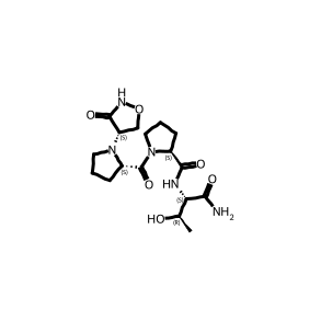 C[C@@H](O)[C@H](NC(=O)[C@@H]1CCCN1C(=O)[C@@H]1CCCN1[C@H]1CONC1=O)C(N)=O